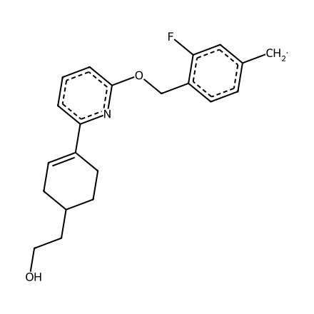 [CH2]c1ccc(COc2cccc(C3=CCC(CCO)CC3)n2)c(F)c1